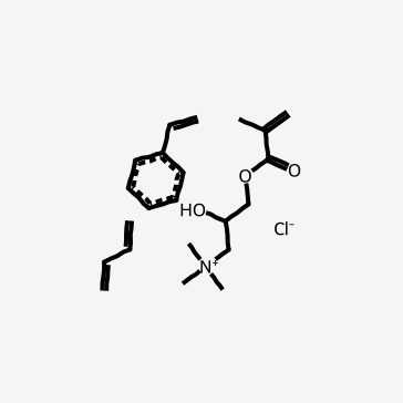 C=C(C)C(=O)OCC(O)C[N+](C)(C)C.C=CC=C.C=Cc1ccccc1.[Cl-]